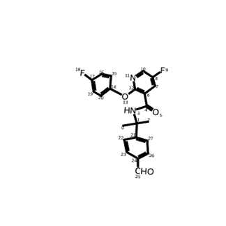 CC(C)(NC(=O)c1cc(F)cnc1Oc1ccc(F)cc1)c1ccc(C=O)cc1